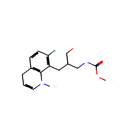 CON1C=CCc2ccc(F)c(CC(CO)CNC(=O)OC(C)(C)C)c21